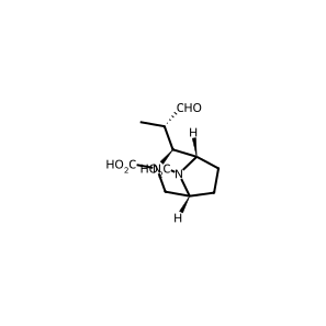 C[C@H](C=O)[C@H]1[C@@H]2CC[C@H](CN1C(=O)O)N2C(=O)O